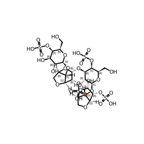 O=S(=O)(O)O[C@@H]1[C@H]2OC[C@@H](O[C@@H]1O)[C@@H]2O[C@@H]1O[C@H](CO)[C@H](OS(=O)(=O)O)[C@H](O[C@H]2O[C@@H]3CO[C@@H]([C@H]3O[C@@H]3O[C@H](CO)[C@H](OS(=O)(=O)O)[C@H](O)[C@H]3O)[C@H]2OS(=O)(=O)O)[C@H]1O